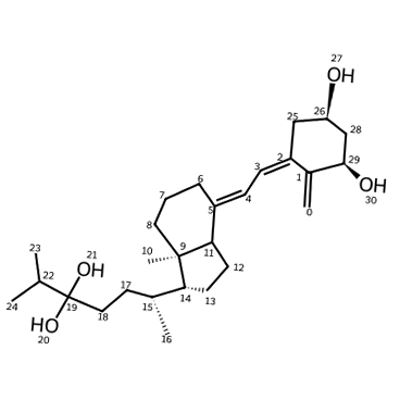 C=C1/C(=C\C=C2CCC[C@@]3(C)C2CC[C@@H]3[C@H](C)CCC(O)(O)C(C)C)C[C@@H](O)C[C@H]1O